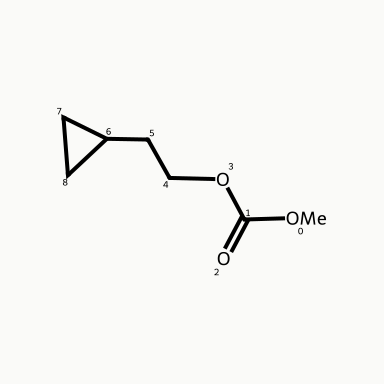 COC(=O)OCCC1CC1